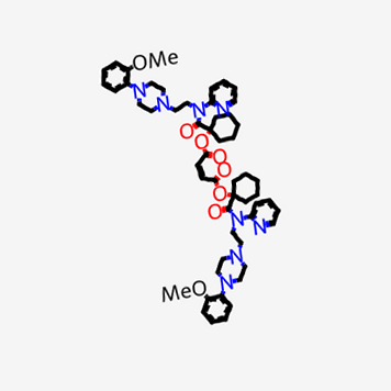 COc1ccccc1N1CCN(CCN(C(=O)C2(OC(=O)/C=C\C(=O)OC3(C(=O)N(CCN4CCN(c5ccccc5OC)CC4)c4ccccn4)CCCCC3)CCCCC2)c2ccccn2)CC1